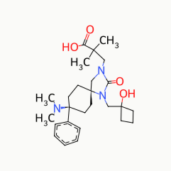 CN(C)[C@]1(c2ccccc2)CC[C@@]2(CC1)CN(CC(C)(C)C(=O)O)C(=O)N2CC1(O)CCC1